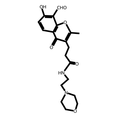 Cc1oc2c(C=O)c(O)ccc2c(=O)c1CCC(=O)NCCN1CCOCC1